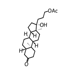 CC(=O)OCCC[C@]1(O)CC[C@H]2[C@@H]3CC[C@H]4CC(=O)CC[C@]4(C)[C@H]3CC[C@@]21C